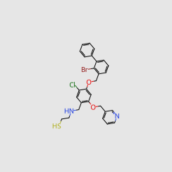 SCCNCc1cc(Cl)c(OCc2cccc(-c3ccccc3)c2Br)cc1OCc1cccnc1